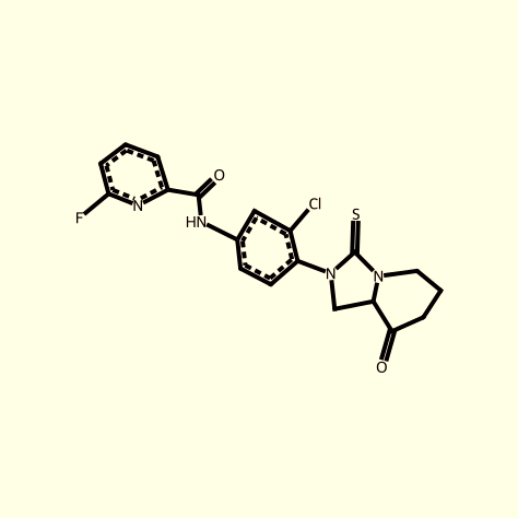 O=C(Nc1ccc(N2CC3C(=O)CCCN3C2=S)c(Cl)c1)c1cccc(F)n1